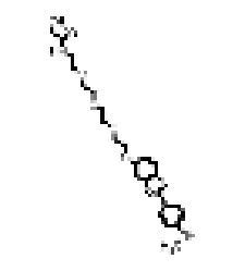 CCC(=O)NCCOCCOCCOCCOc1ccc2nc(-c3ccc(NC)cc3)sc2c1